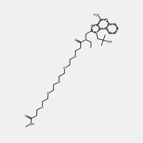 CCN(Cc1nc2c(N)nc3ccccc3c2n1CC(C)(C)O)C(=O)CCOCCOCCOCCOCCOCCC(=O)NC